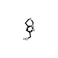 OCc1cc2n(n1)CSCC2